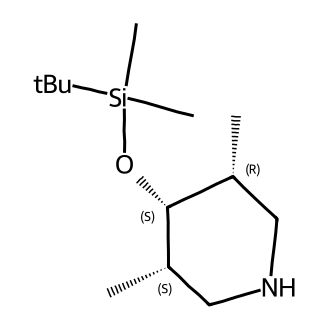 C[C@@H]1CNC[C@H](C)[C@@H]1O[Si](C)(C)C(C)(C)C